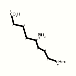 CCCCCCCCCCCCCC(=O)O.[BiH3]